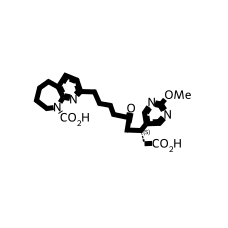 COc1ncc([C@H](CC(=O)O)CC(=O)CCCCc2ccc3c(n2)N(C(=O)O)CCCC3)cn1